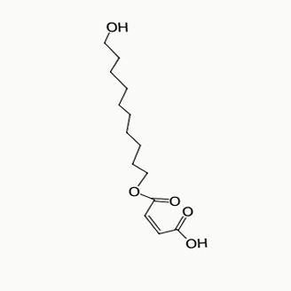 O=C(O)/C=C\C(=O)OCCCCCCCCCCO